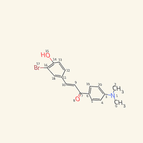 CN(C)c1ccc(C(=O)C=Cc2ccc(O)c(Br)c2)cc1